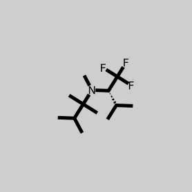 CC(C)[C@H](N(C)C(C)(C)C(C)C)C(F)(F)F